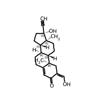 C#C[C@]1(O)CC[C@H]2[C@@H]3CCC4=CC(=O)C(=CO)C[C@]4(C)[C@H]3CC[C@@]21C